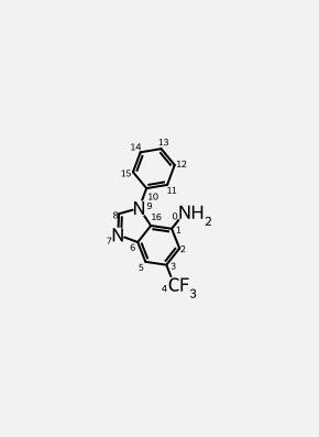 Nc1cc(C(F)(F)F)cc2ncn(-c3ccccc3)c12